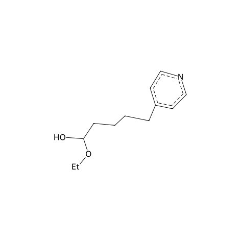 CCOC(O)CCCCc1ccncc1